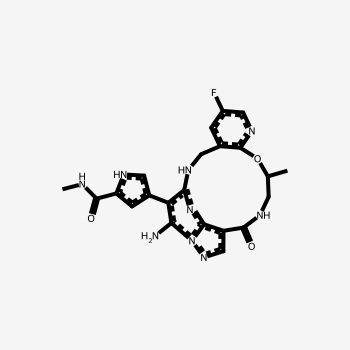 CNC(=O)c1cc(-c2c3nc4c(cnn4c2N)C(=O)NCC(C)Oc2ncc(F)cc2CN3)c[nH]1